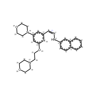 C(=N/Nc1ccc2ccccc2c1)/c1cc(N2CCOCC2)cc(OCCN2CCOCC2)n1